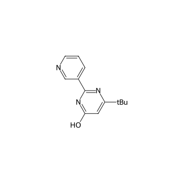 CC(C)(C)c1cc(O)nc(-c2cccnc2)n1